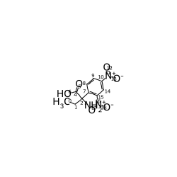 CCC(N)(C(=O)O)c1ccc([N+](=O)[O-])cc1[N+](=O)[O-]